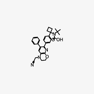 CC(C)(C)N(C(=O)O)C1(c2ccc(-c3nc4c(cc3-c3ccccc3)N(CC#N)CCO4)cc2)CCC1